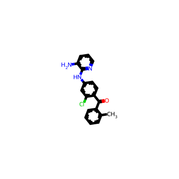 Cc1ccccc1C(=O)c1ccc(Nc2ncccc2N)cc1Cl